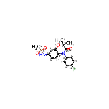 CC1(C)Oc2cc(NS(C)(=O)=O)[c]cc2N(c2ccc(F)cc2)C1=O